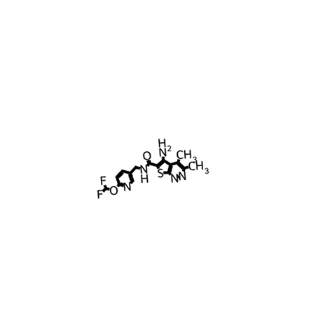 Cc1nnc2sc(C(=O)NCc3ccc(OC(F)F)nc3)c(N)c2c1C